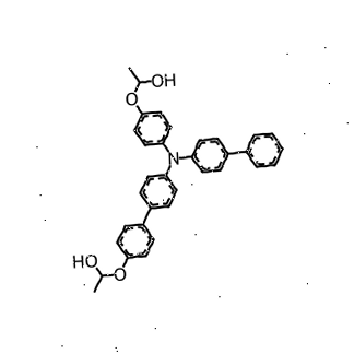 CC(O)Oc1ccc(-c2ccc(N(c3ccc(OC(C)O)cc3)c3ccc(-c4ccccc4)cc3)cc2)cc1